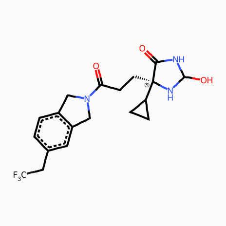 O=C(CC[C@@]1(C2CC2)NC(O)NC1=O)N1Cc2ccc(CC(F)(F)F)cc2C1